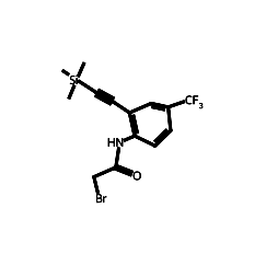 C[Si](C)(C)C#Cc1cc(C(F)(F)F)ccc1NC(=O)CBr